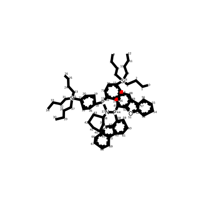 CCCC[Si](CCCC)(CCCC)c1ccc(P(c2ccc([Si](CCCC)(CCCC)CCCC)cc2)N(C2CCCCC2)P(c2cccc3c2oc2ccccc23)c2cccc3c2oc2ccccc23)cc1